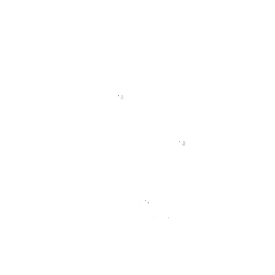 O=C(O)NCCc1c[nH]c2ccc(C(=O)NCc3ccccc3)cc12